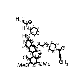 C=CC(=O)N[C@H]1CCOC[C@H]1Nc1ncc2cc(-c3c(Cl)c(OC)cc(OC)c3Cl)c(=O)n(CCCN3CCN(C(=O)C#CC)CC3)c2n1